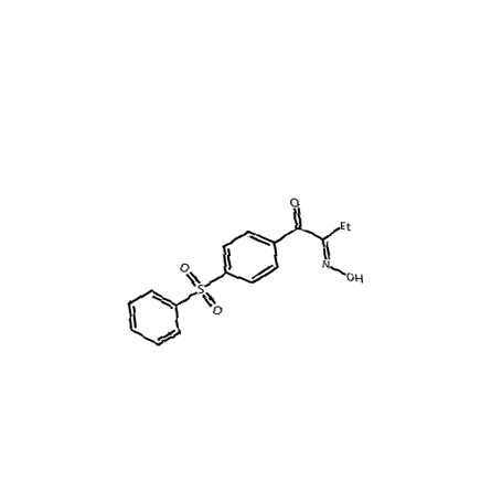 CCC(=NO)C(=O)c1ccc(S(=O)(=O)c2ccccc2)cc1